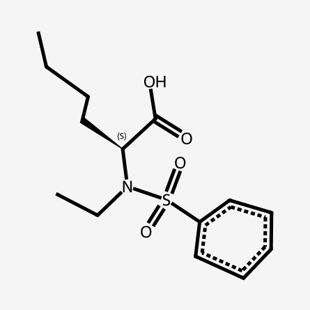 CCCC[C@@H](C(=O)O)N(CC)S(=O)(=O)c1ccccc1